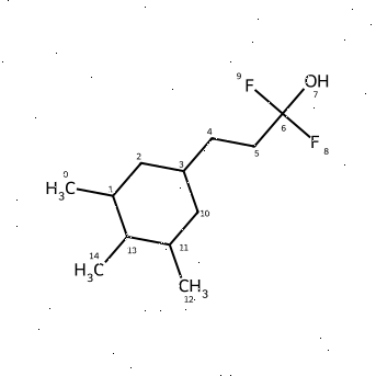 CC1CC(CCC(O)(F)F)CC(C)C1C